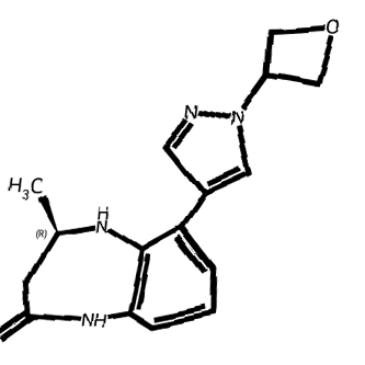 C[C@@H]1CC(=O)Nc2cccc(-c3cnn(C4COC4)c3)c2N1